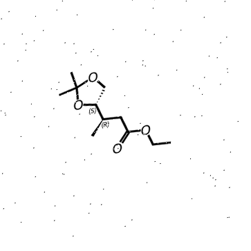 CCOC(=O)C[C@@H](C)[C@H]1COC(C)(C)O1